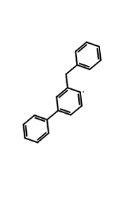 [c]1ccc(-c2ccccc2)cc1Cc1ccccc1